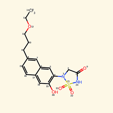 O=C1CN(c2cc3cc(CCCOCC(F)(F)F)ccc3cc2O)S(=O)(=O)N1